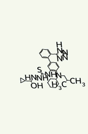 CC(C)CN(c1ccc(-c2ccccc2-c2nnn[nH]2)cc1NC(=S)NNC(O)C1CC1)C1CCCCC1